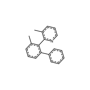 Cc1cccnc1-c1c(C)cccc1-c1ccccc1